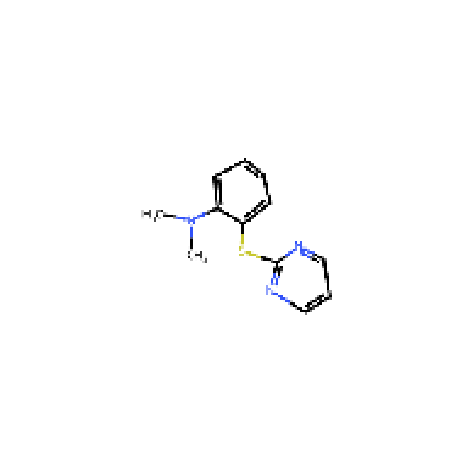 CN(C)c1ccccc1Sc1ncccn1